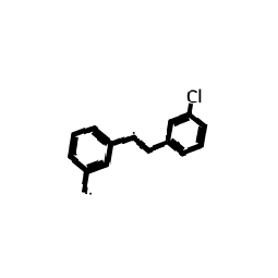 [CH2]c1cccc([CH]Cc2cccc(Cl)c2)c1